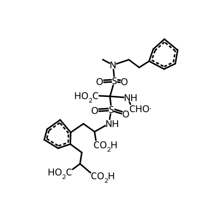 CN(CCc1ccccc1)S(=O)(=O)C(N[C]=O)(C(=O)O)S(=O)(=O)NC(Cc1ccccc1CC(C(=O)O)C(=O)O)C(=O)O